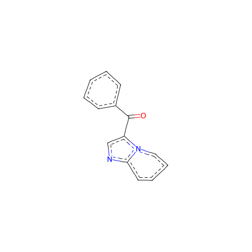 O=C(c1ccccc1)c1cnc2ccccn12